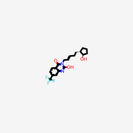 O=c1c2ccc(C(F)(F)F)cc2nc(O)n1C/C=C/CC[C@@H]1CCC[C@H]1O